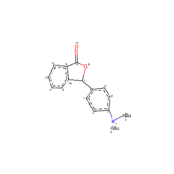 CCCCN(CCCC)c1ccc(C2OC(=O)c3ccccc32)cc1